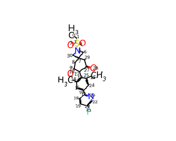 CCS(=O)(=O)N1CC2(CC(=O)C(c3c(C)cc(-c4ccc(F)cn4)cc3C)C(=O)C2)C1